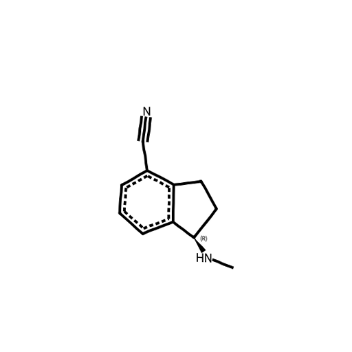 CN[C@@H]1CCc2c(C#N)cccc21